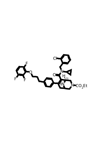 CCOC(=O)N1CC2CC(c3ccc(CCCOc4c(F)ccc(F)c4F)cc3)=C(C(=O)N(Cc3ccccc3Cl)C3CC3)[C@@H](C1)N2